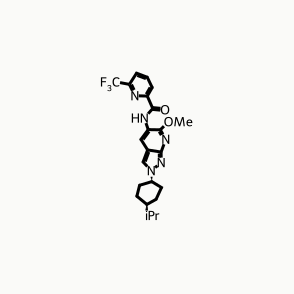 COc1nc2nn([C@H]3CC[C@H](C(C)C)CC3)cc2cc1NC(=O)c1cccc(C(F)(F)F)n1